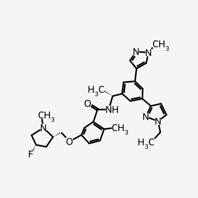 CCn1ccc(-c2cc(-c3cnn(C)c3)cc([C@@H](C)NC(=O)c3cc(OC[C@@H]4C[C@H](F)CN4C)ccc3C)c2)n1